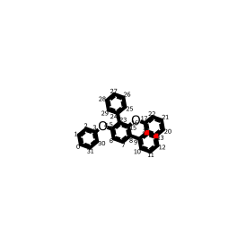 c1ccc(Oc2ccc(-c3ccccc3)c(Oc3ccccc3)c2-c2ccccc2)cc1